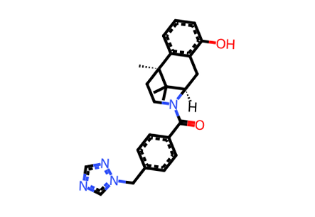 CC1(C)[C@H]2Cc3c(O)cccc3[C@]1(C)CCN2C(=O)c1ccc(Cn2cncn2)cc1